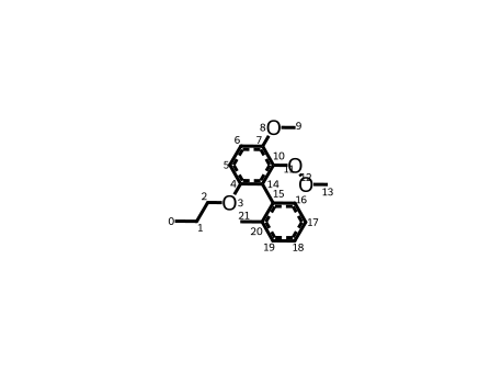 CCCOc1ccc(OC)c(OOC)c1-c1ccccc1C